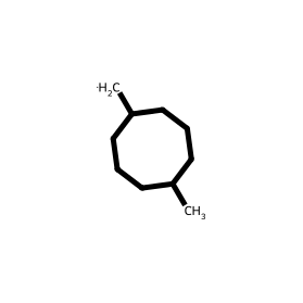 [CH2]C1CCCC(C)CCC1